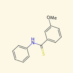 COc1cccc(C(=S)Nc2ccccc2)c1